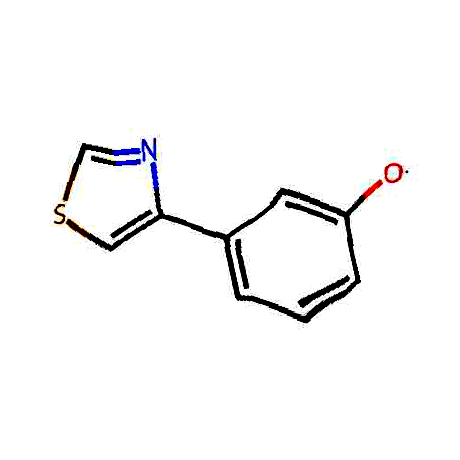 [O]c1cccc(-c2cscn2)c1